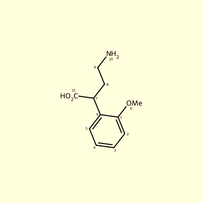 COc1ccccc1C(CCN)C(=O)O